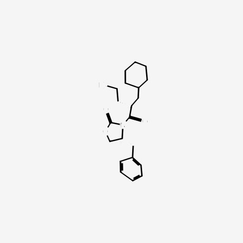 O=C1OC[C@@H](Cc2ccccc2)N1C(=O)[C@H](CCO)CC1CCCCC1